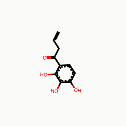 C=CCC(=O)c1ccc(O)c(O)c1O